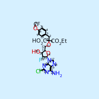 CCOC(=O)C(Cc1ccc(OC(F)(F)F)cc1)(OC[C@H]1O[C@@H](n2cnc3c(N)nc(Cl)nc32)[C@@H](F)[C@@H]1O)C(=O)O